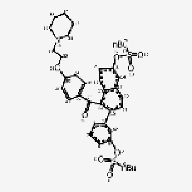 CCCCS(=O)(=O)Oc1cccc(-c2ccc3cc(OS(=O)(=O)CCCC)ccc3c2C(=O)C2=CCC(OCCN3CCCCC3)C=C2)c1